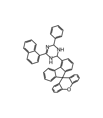 c1ccc(C2N=C(c3cccc4ccccc34)NC(c3cccc4c3-c3ccccc3C43c4ccccc4Oc4ccccc43)N2)cc1